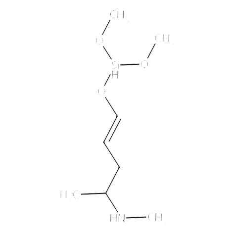 CNC(C)CC=CO[SiH](OC)OC